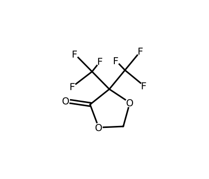 O=C1OCOC1(C(F)(F)F)C(F)(F)F